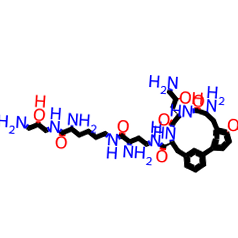 NCC(O)CNC(=O)[C@@H](N)CCCCNC(=O)C(N)CCNC(=O)[C@@H]1Cc2cccc(c2)-c2ccc(O)c(c2)C[C@H](N)C(=O)N[C@@H](C[C@@H](O)CN)C(=O)N1